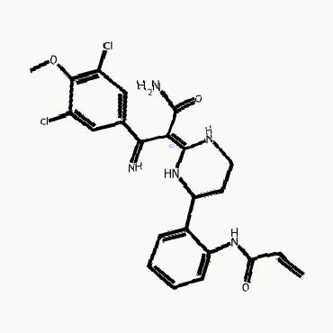 C=CC(=O)Nc1ccccc1C1CCN/C(=C(/C(=N)c2cc(Cl)c(OC)c(Cl)c2)C(N)=O)N1